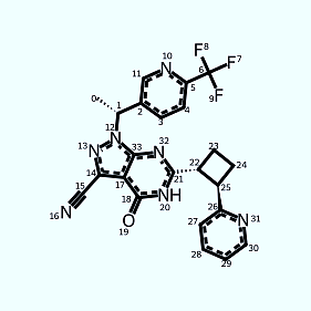 C[C@H](c1ccc(C(F)(F)F)nc1)n1nc(C#N)c2c(=O)[nH]c([C@@H]3CC[C@H]3c3ccccn3)nc21